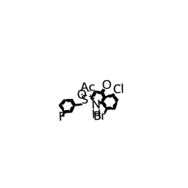 CC(=O)c1c([S+]([O-])Cc2cccc(F)c2)[nH]c2c(Br)ccc(Cl)c2c1=O